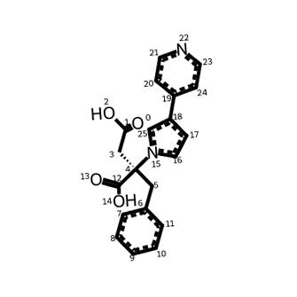 O=C(O)C[C@](Cc1ccccc1)(C(=O)O)n1ccc(-c2ccncc2)c1